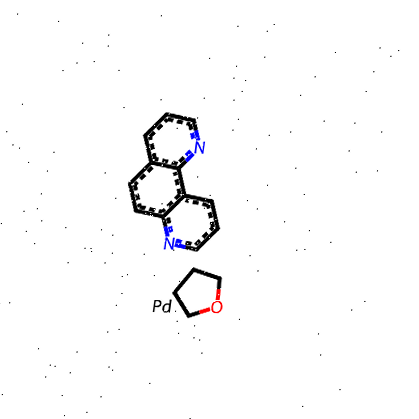 C1CCOC1.[Pd].c1cnc2c(c1)ccc1ncccc12